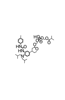 CCC(CC(=O)OCOP(=O)(O)OCOC(=O)C(C)C)c1ccc(N(CC(C)C)CC(C)C)c(NC(=O)Nc2ccc(C)cc2)c1